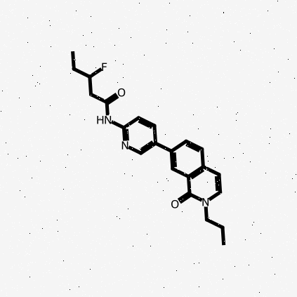 CCCn1ccc2ccc(-c3ccc(NC(=O)CC(F)CC)nc3)cc2c1=O